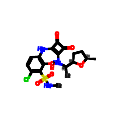 CCNS(=O)(=O)c1c(Cl)ccc(Nc2c(N[C@H](CC)[C@H]3CC[C@@H](C)O3)c(=O)c2=O)c1O